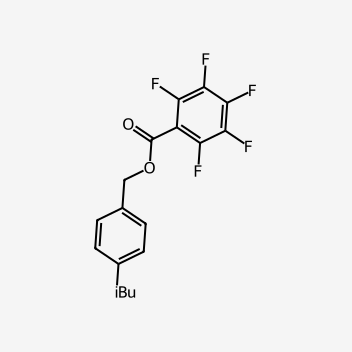 CCC(C)c1ccc(COC(=O)c2c(F)c(F)c(F)c(F)c2F)cc1